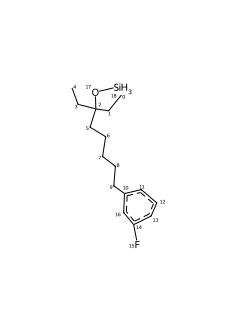 CCC(CC)(CCCCCc1cccc(F)c1)O[SiH3]